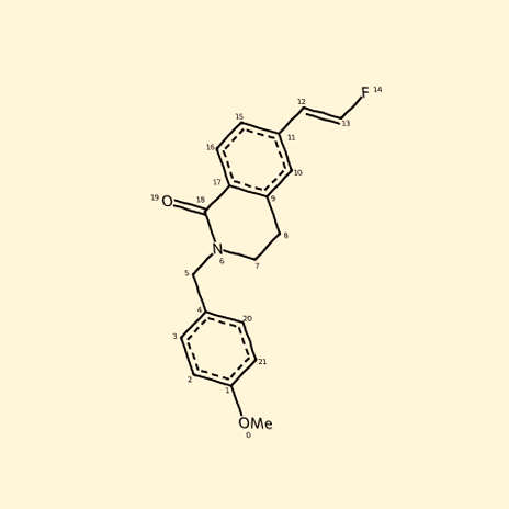 COc1ccc(CN2CCc3cc(C=CF)ccc3C2=O)cc1